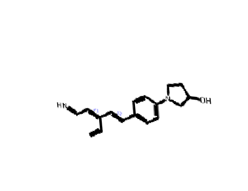 C=CC(/C=C/c1ccc(N2CCC(O)C2)cc1)=C\C=N